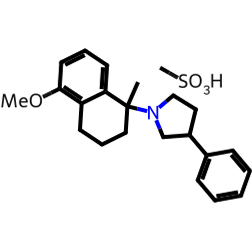 COc1cccc2c1CCCC2(C)N1CCC(c2ccccc2)C1.CS(=O)(=O)O